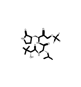 CC(C)C[C@H](NC(=O)[C@H](O)C(C)(C)C)C(=O)N[C@@H](C[C@@H]1CCNC1=O)C(=O)COC(F)(F)F